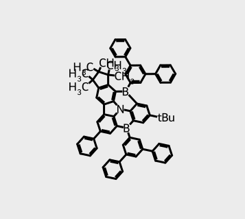 CC(C)(C)c1cc2c3c(c1)B(c1cc(-c4ccccc4)cc(-c4ccccc4)c1)c1c4c(cc5c6cc(-c7ccccc7)cc(c6n-3c15)B2c1cc(-c2ccccc2)cc(-c2ccccc2)c1)C(C)(C)C(C)(C)C4(C)C